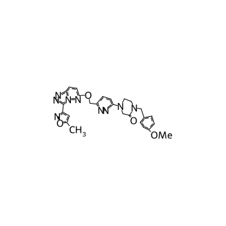 COc1ccc(CN2CCN(c3ccc(COc4ccc5nnc(-c6cc(C)on6)n5n4)nn3)CC2=O)cc1